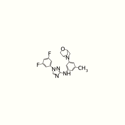 Cc1cc(Nc2ncn(-c3cc(F)cc(F)c3)n2)cc(N2CC3CC2CO3)c1